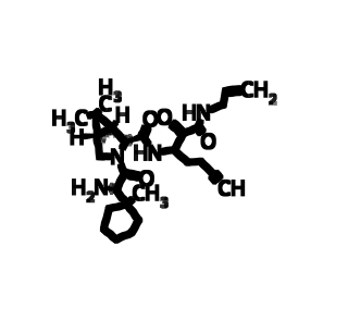 C#CCCC(NC(=O)[C@@H]1[C@@H]2[C@H](CN1C(=O)[C@@H](N)C1(C)CCCCC1)C2(C)C)C(=O)C(=O)NCC=C